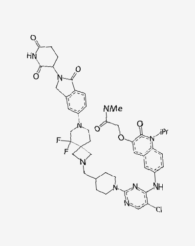 CNC(=O)COc1cc2cc(Nc3nc(N4CCC(CN5CC6(CCN(c7ccc8c(c7)CN(C7CCC(=O)NC7=O)C8=O)CC6(F)F)C5)CC4)ncc3Cl)ccc2n(C(C)C)c1=O